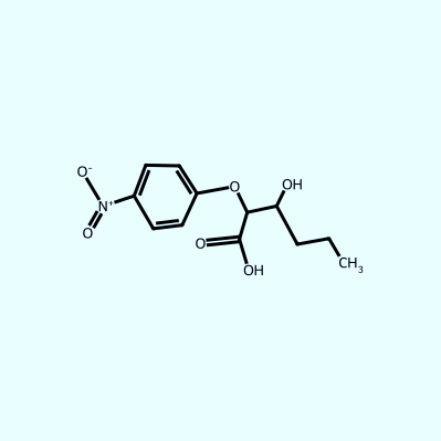 CCCC(O)C(Oc1ccc([N+](=O)[O-])cc1)C(=O)O